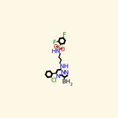 Bc1cnn2c(NCCCCNS(=O)(=O)c3ccc(F)cc3F)cc(-c3ccccc3Cl)nc12